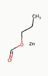 CCCOC=O.[Zn]